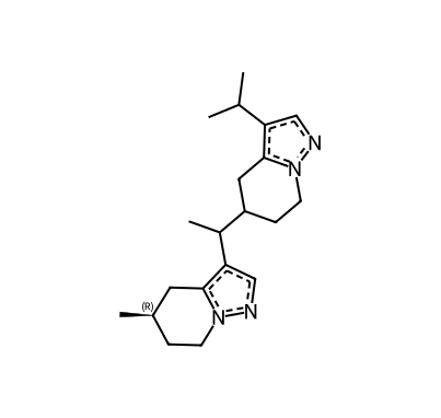 CC(C)c1cnn2c1CC(C(C)c1cnn3c1C[C@H](C)CC3)CC2